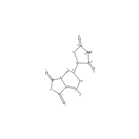 CC1=C2C(=O)CC(=O)C2CC(C2CC(=O)NC2=O)C1